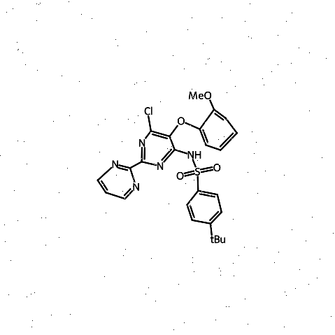 COc1ccccc1Oc1c(Cl)nc(-c2ncccn2)nc1NS(=O)(=O)c1ccc(C(C)(C)C)cc1